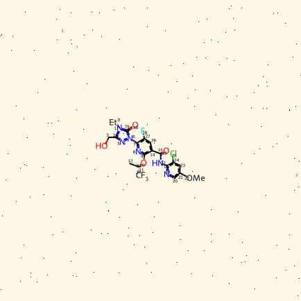 CCn1c(CO)nn(-c2nc(O[C@@H](C)C(F)(F)F)c(C(=O)Nc3ncc(OC)cc3Cl)cc2F)c1=O